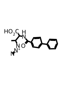 CC(N=[N+]=[N-])C(NC(=O)c1ccc(-c2ccccc2)cc1)C(=O)O